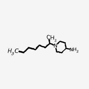 CCCCCCC(C)N1CCC(N)CC1